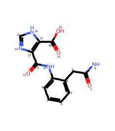 [NH]C(=O)Cc1ccccc1NC(=O)c1nc[nH]c1C(=O)O